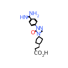 N=C(N)c1ccc(-n2ncn([C@H]3CC[C@H](CCC(=O)O)CC3)c2=O)cc1